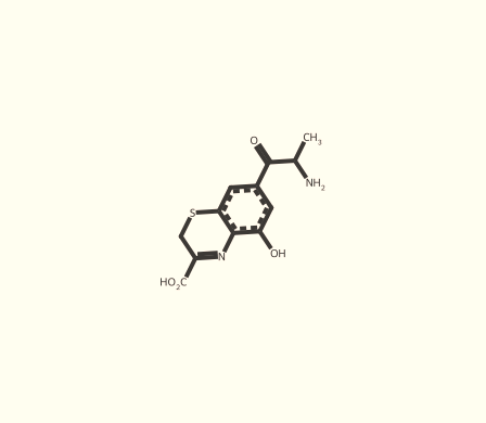 CC(N)C(=O)c1cc(O)c2c(c1)SCC(C(=O)O)=N2